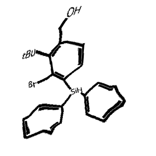 CC(C)(C)c1c(CO)ccc([SiH](c2ccccc2)c2ccccc2)c1Br